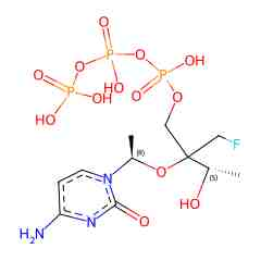 C[C@H](O)C(CF)(COP(=O)(O)OP(=O)(O)OP(=O)(O)O)O[C@H](C)n1ccc(N)nc1=O